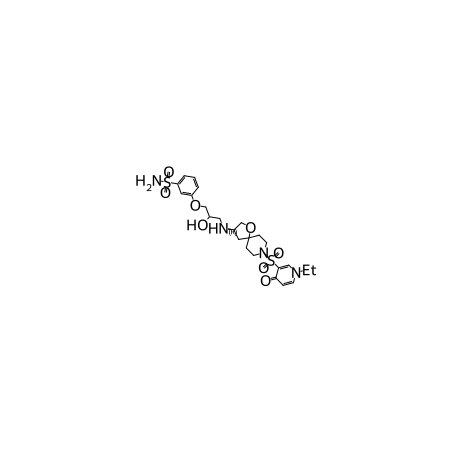 CCn1ccc(=O)c(S(=O)(=O)N2CCC3(CC2)C[C@@H](NCC(O)COc2cccc(S(N)(=O)=O)c2)CO3)c1